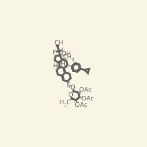 C#CC(F)(F)[C@]1(O)CC[C@H]2[C@@H]3CCC4=C/C(=N/O[C@@H]5O[C@@H](C)[C@@H](OC(C)=O)[C@@H](OC(C)=O)[C@@H]5OC(C)=O)CCC4=C3[C@@H](c3ccc(C4CC4)cc3)C[C@@]21C